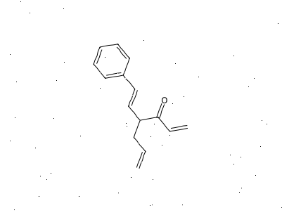 C=CCC(C=Cc1ccccc1)C(=O)C=C